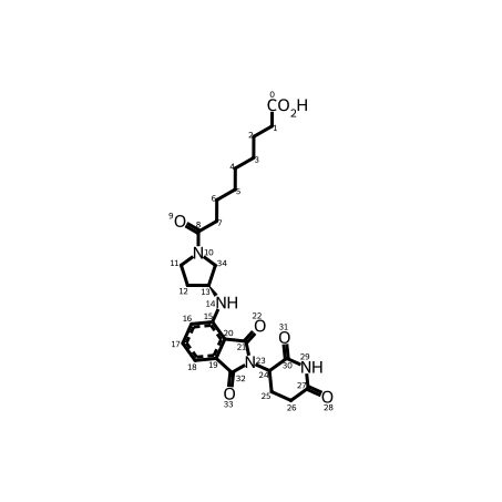 O=C(O)CCCCCCCC(=O)N1CC[C@H](Nc2cccc3c2C(=O)N(C2CCC(=O)NC2=O)C3=O)C1